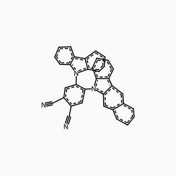 N#Cc1cc(-n2c3ccccc3c3ccccc32)c(-n2c3ccccc3c3cc4ccccc4cc32)cc1C#N